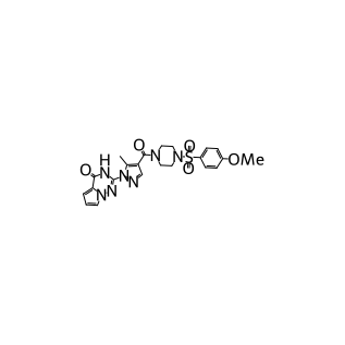 COc1ccc(S(=O)(=O)N2CCN(C(=O)c3cnn(-c4nn5cccc5c(=O)[nH]4)c3C)CC2)cc1